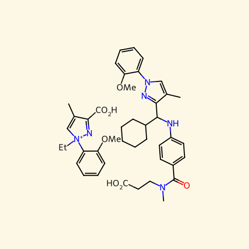 CC[N+]1(c2ccccc2OC)C=C(C)C(C(=O)O)=N1.COc1ccccc1-n1cc(C)c(C(Nc2ccc(C(=O)N(C)CCC(=O)O)cc2)C2CCCCC2)n1